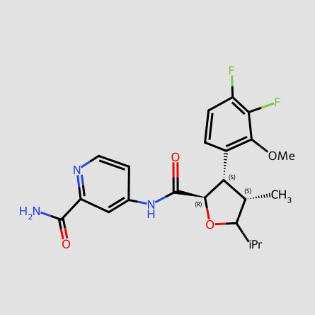 COc1c([C@@H]2[C@H](C)C(C(C)C)O[C@H]2C(=O)Nc2ccnc(C(N)=O)c2)ccc(F)c1F